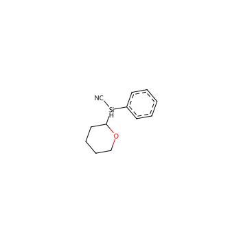 N#C[SiH](c1ccccc1)C1CCCCO1